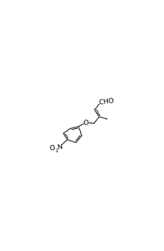 CC(=CC=O)COc1ccc([N+](=O)[O-])cc1